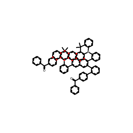 CC1(C)c2ccccc2N(c2ccccc2-c2cc3cc(-c4ccccc4-c4ccc(C(=O)c5ccccc5)cc4)c(-c4ccccc4N4c5ccccc5C(C)(C)c5ccccc54)cc3cc2-c2cccc(-c3ccc(C(=O)c4ccccc4)cc3)c2)c2ccccc21